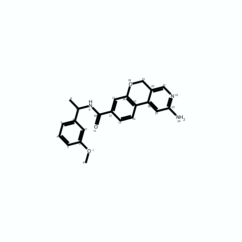 COc1cccc(C(C)NC(=O)c2ccc3c(c2)OCc2cnc(N)cc2-3)c1